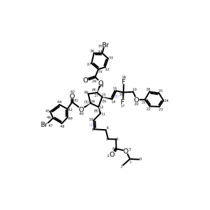 CC(C)OC(=O)CCC/C=C\C[C@@H]1[C@H](/C=C/C(F)(F)COc2ccccc2)[C@H](OC(=O)c2ccc(Br)cc2)C[C@@H]1OC(=O)c1ccc(Br)cc1